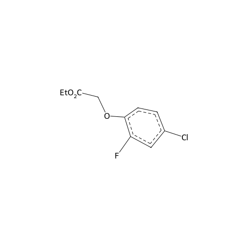 CCOC(=O)COc1ccc(Cl)cc1F